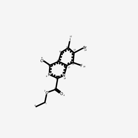 CCOC(=O)c1nc(Cl)c2cc(I)c(Br)c(F)c2n1